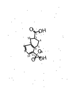 O=C(O)C1CCc2c(cccc2S(=O)(=O)O)C1